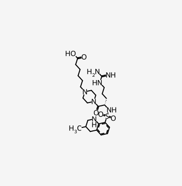 CC1CNc2c(cccc2S(=O)(=O)N[C@@H](CCCNC(=N)N)C(=O)N2CCN(CCCCCC(=O)O)CC2)C1